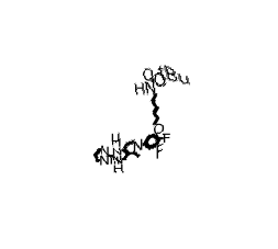 CC1C2=C(CCN1c1cc(F)c(F)c(OCCCCCCNC(=O)OC(C)(C)C)c1)NC(C1=NC=CCN1)NC2